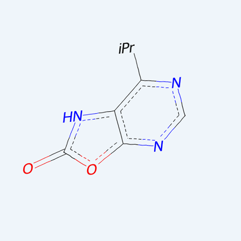 CC(C)c1ncnc2oc(=O)[nH]c12